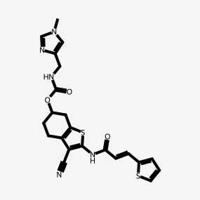 Cn1cnc(CNC(=O)OC2CCc3c(sc(NC(=O)C=Cc4cccs4)c3C#N)C2)c1